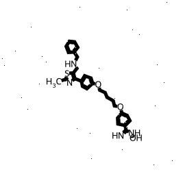 Cc1nc(-c2ccc(OCCCCCOc3ccc(C(=N)NO)cc3)cc2)c(CNCc2ccccc2)s1